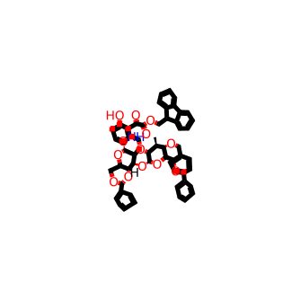 CC1[C@@H](ON[C@H](C(=O)C(=O)OCC2c3ccccc3-c3ccccc32)[C@@H](C)O)OC2COC(c3ccccc3)O[C@@H]2[C@@H]1O[C@@H]1OC(COCc2ccccc2)[C@H](OCc2ccccc2)[C@H](C)C1OCc1ccccc1